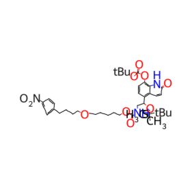 CC(C)(C)OC(=O)Oc1ccc(C(CNC(=O)OCCCCCCOCCCCc2ccc([N+](=O)[O-])cc2)O[Si](C)(C)C(C)(C)C)c2ccc(=O)[nH]c12